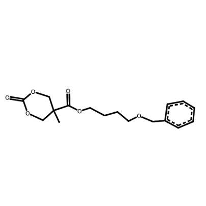 CC1(C(=O)OCCCCOCc2ccccc2)COC(=O)OC1